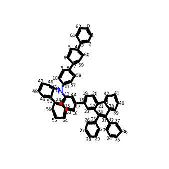 c1ccc(-c2ccc(-c3ccc(N(c4cccc(-c5ccc6c(c5)c(-c5ccccc5)c(-c5ccccc5)c5ccccc56)c4)c4ccccc4-c4ccccc4)cc3)cc2)cc1